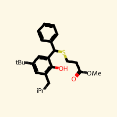 COC(=O)CCSC(c1ccccc1)c1cc(C(C)(C)C)cc(CC(C)C)c1O